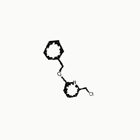 ClCc1cccc(OCc2ccccc2)n1